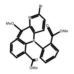 COC(=O)c1ccccc1N(c1ccccc1C(=O)OC)c1ccc(Br)nc1C(=O)OC